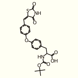 CC(C)(C)OC(=O)NC(Cc1ccc(Oc2ccc(C=C3SC(=O)NC3=O)cc2)cc1)C(=O)O